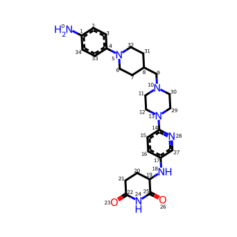 Nc1ccc(N2CCC(CN3CCN(c4ccc(NC5CCC(=O)NC5=O)cn4)CC3)CC2)cc1